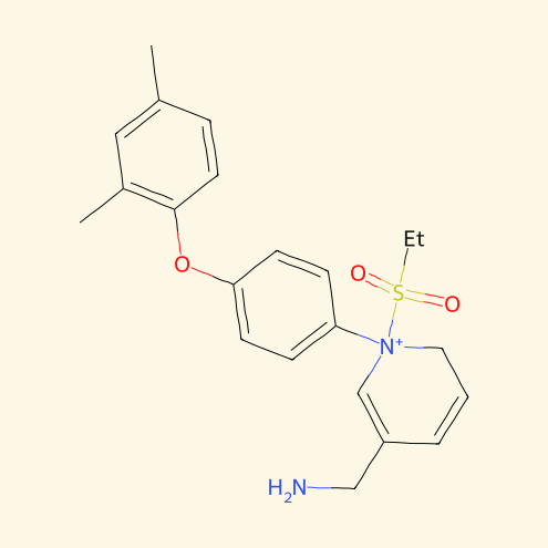 CCS(=O)(=O)[N+]1(c2ccc(Oc3ccc(C)cc3C)cc2)C=C(CN)C=CC1